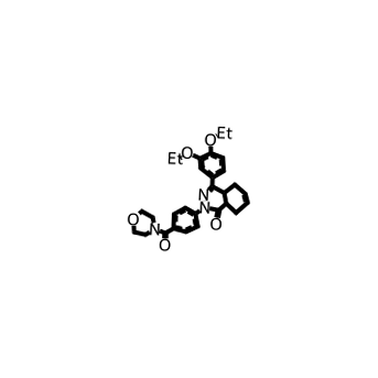 CCOc1ccc(C2=NN(c3ccc(C(=O)N4CCOCC4)cc3)C(=O)C3CC=CCC23)cc1OCC